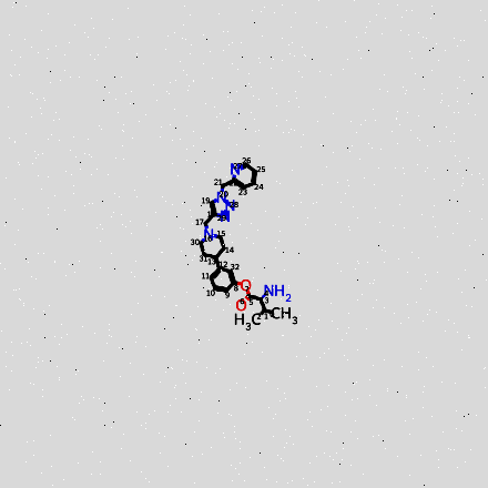 CC(C)[C@H](N)C(=O)Oc1cccc(C2CCN(Cc3cn(Cc4ccccn4)nn3)CC2)c1